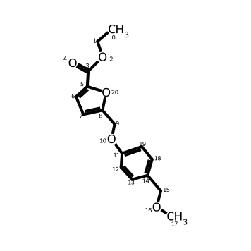 CCOC(=O)c1ccc(COc2ccc(COC)cc2)o1